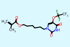 C=C(C)C(=O)OCCCCCCn1cc(OC(F)(F)C(F)(F)F)c(=O)[nH]c1=O